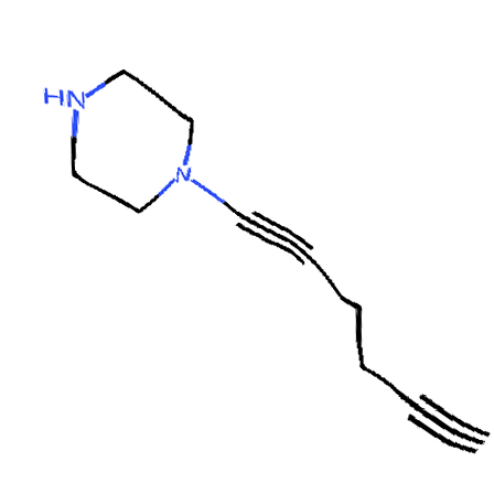 C#CCCC#CN1CCNCC1